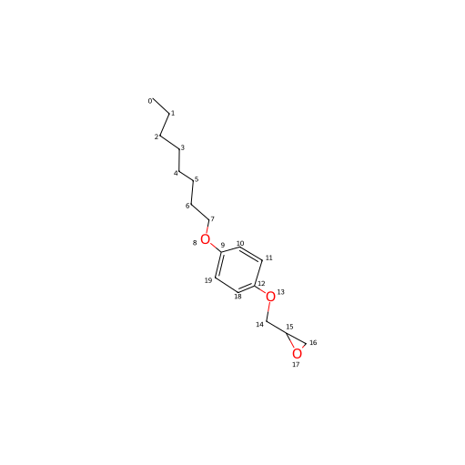 CCCCCCCCOc1ccc(OCC2CO2)cc1